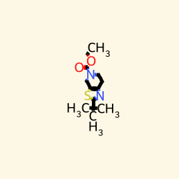 CCOC(=O)N1CCc2nc(C(C)(C)C)sc2C1